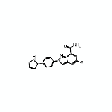 NC(=O)c1cc(F)cc2cn(-c3ccc(C4CCCN4)cc3)nc12